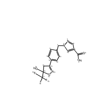 O=C(O)c1cnn(Cc2ccc(C3=NOC(O)(C(F)(F)F)C3)cc2)c1